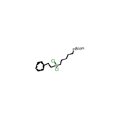 CCCCCCCCCCCCCC[Si](Cl)(Cl)CCc1ccccc1